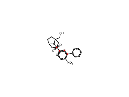 O=C(OCc1ccccc1)N1CC2CCC(CO)(C1)N2S(=O)(=O)c1ccc([N+](=O)[O-])cc1